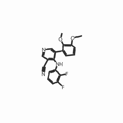 COc1cccc(-c2cncc(C#N)c2Nc2cccc(F)c2F)c1OC